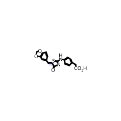 O=C(O)Cc1ccc(NC2=NC(=O)/C(=C/c3ccc4c(c3)OCO4)S2)cc1